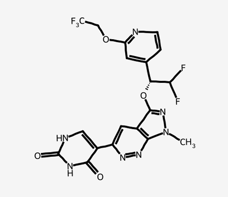 Cn1nc(O[C@H](c2ccnc(OCC(F)(F)F)c2)C(F)F)c2cc(-c3c[nH]c(=O)[nH]c3=O)nnc21